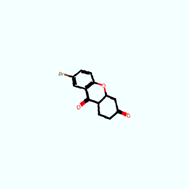 O=C1CCC2C(=O)c3cc(Br)ccc3OC2C1